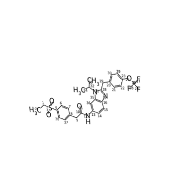 CCS(=O)(=O)c1ccc(CC(=O)Nc2ccc3nc(Cc4ccc(OC(F)(F)F)cc4)n(C(C)C)c3c2)cc1